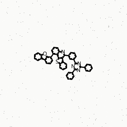 c1ccc(-c2nc(-c3ccccc3)nc(-c3cccc(-c4nc5cccc(-c6cccc7c6oc6ccccc67)c5c5sc6ccccc6c45)c3)n2)cc1